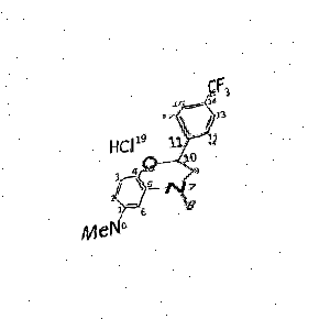 CNc1ccc2c(c1)N(C)CC(c1ccc(C(F)(F)F)cc1)O2.Cl